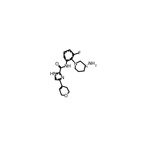 N[C@@H]1CCCN(c2c(F)cccc2NC(=O)c2nc(C3=CCOCC3)c[nH]2)C1